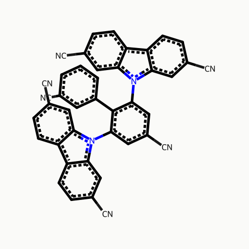 N#Cc1cccc(-c2c(-n3c4cc(C#N)ccc4c4ccc(C#N)cc43)cc(C#N)cc2-n2c3cc(C#N)ccc3c3ccc(C#N)cc32)c1